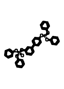 O=P(Oc1ccccc1)(Oc1ccccc1)Oc1cccc(-c2ccc(OP(Oc3ccccc3)Oc3ccccc3)cc2)c1